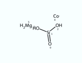 O=[Si](O)O.[Co].[MgH2]